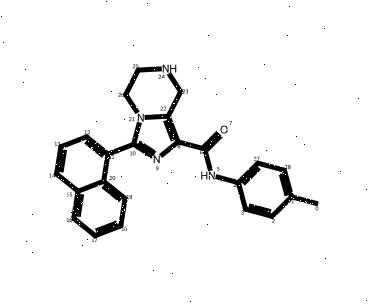 Cc1ccc(NC(=O)c2nc(-c3cccc4ccccc34)n3c2CNCC3)cc1